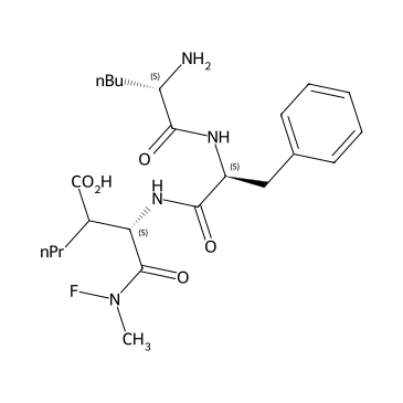 CCCC[C@H](N)C(=O)N[C@@H](Cc1ccccc1)C(=O)N[C@H](C(=O)N(C)F)C(CCC)C(=O)O